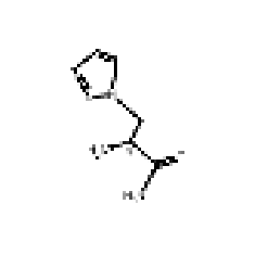 NC(=O)[C@@H](N)Cn1ccnn1